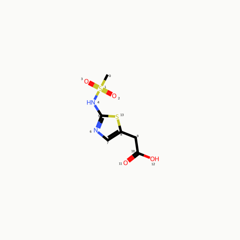 CS(=O)(=O)Nc1ncc(CC(=O)O)s1